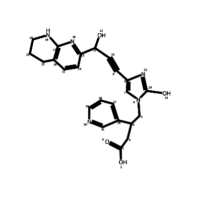 O=C(O)CC(Cn1cc(C#CC(O)c2ccc3c(n2)NCCC3)nc1O)c1cccnc1